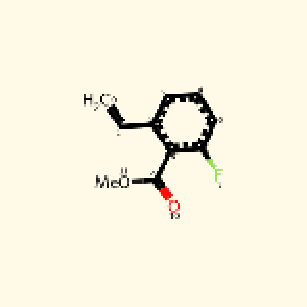 C=Cc1cccc(F)c1C(=O)OC